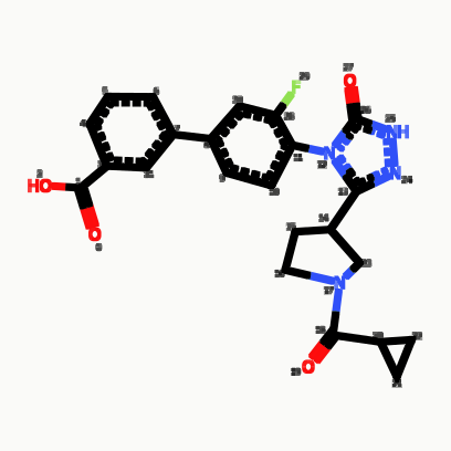 O=C(O)c1cccc(-c2ccc(-n3c(C4CCN(C(=O)C5CC5)C4)n[nH]c3=O)c(F)c2)c1